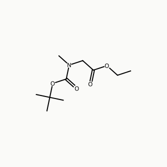 CCOC(=O)CN(C)C(=O)OC(C)(C)C